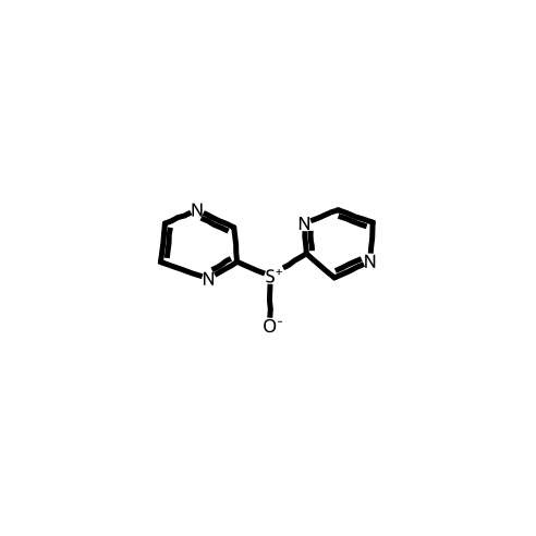 [O-][S+](c1cnccn1)c1cnccn1